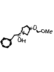 COCO[C@H]1CCN([C@H](O)Cc2ccccc2)C1